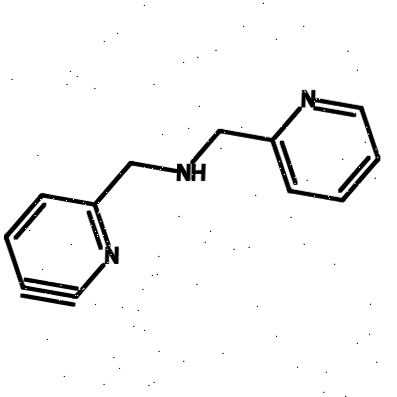 c1ccc(CNCc2ccccn2)nc#1